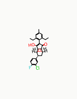 CCc1cc(C)cc(CC)c1C1=C(O)[C@@H]2[C@@H]3O[C@@H](C[C@H]3c3ccc(F)c(Cl)c3)[C@@H]2C1=O